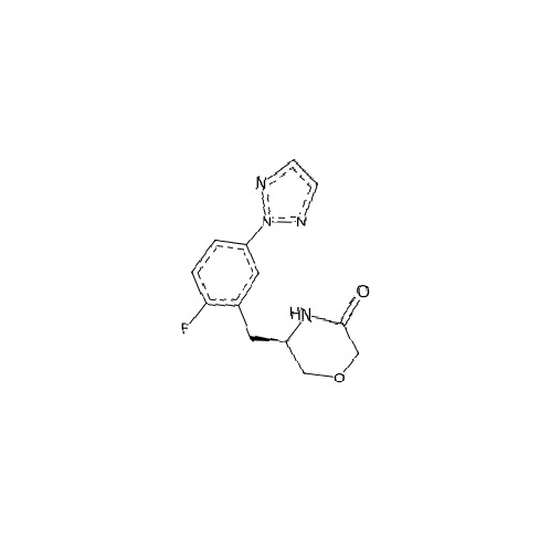 O=C1COC[C@@H](Cc2cc(-n3nccn3)ccc2F)N1